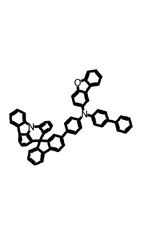 c1ccc(-c2ccc(N(c3ccc(-c4ccc5c(c4)C4(c6ccccc6-5)c5ccccc5-n5c6ccccc6c6cccc4c65)cc3)c3ccc4oc5ccccc5c4c3)cc2)cc1